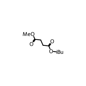 CCC(C)OC(=O)CCC(=O)OC